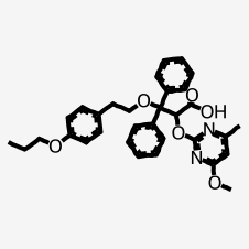 CCCOc1ccc(CCOC(c2ccccc2)(c2ccccc2)C(Oc2nc(C)cc(OC)n2)C(=O)O)cc1